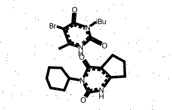 CCC(C)n1c(=O)[nH]c(C)c(Br)c1=O.O=c1[nH]c2c(c(=O)n1C1CCCCC1)CCC2